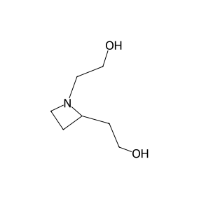 OCCC1CCN1CCO